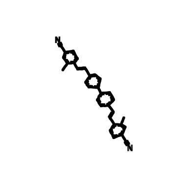 Cc1cc(C#N)ccc1C=Cc1ccc(-c2ccc(C=Cc3ccc(C#N)cc3C)cc2)cc1